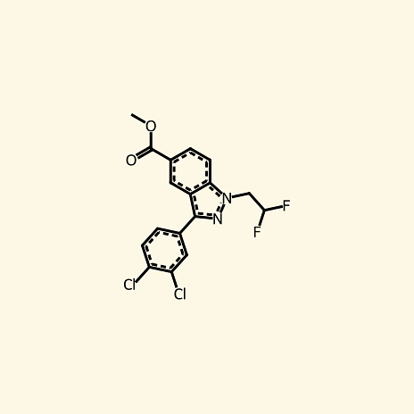 COC(=O)c1ccc2c(c1)c(-c1ccc(Cl)c(Cl)c1)nn2CC(F)F